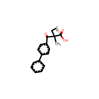 CCC(C)(C(=O)O)C(=O)c1ccc(-c2ccccc2)cc1